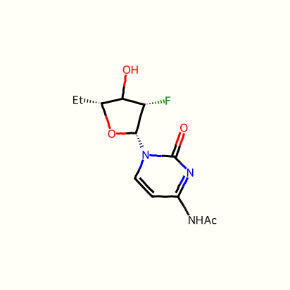 CC[C@H]1O[C@@H](n2ccc(NC(C)=O)nc2=O)[C@@H](F)C1O